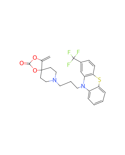 C=C1OC(=O)OC12CCN(CCCN1c3ccccc3Sc3ccc(C(F)(F)F)cc31)CC2